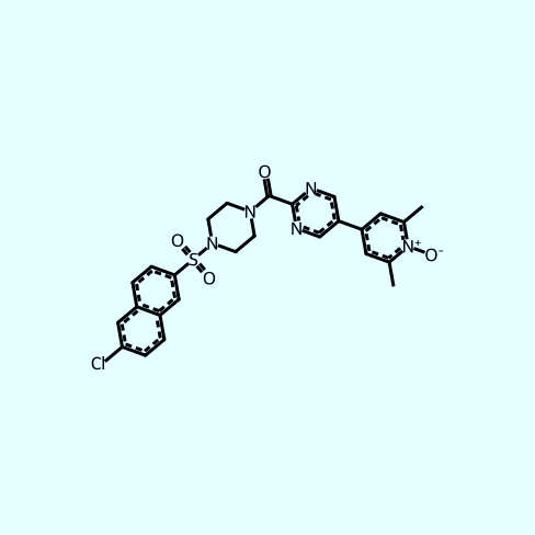 Cc1cc(-c2cnc(C(=O)N3CCN(S(=O)(=O)c4ccc5cc(Cl)ccc5c4)CC3)nc2)cc(C)[n+]1[O-]